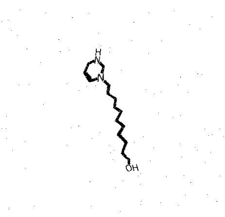 OCCCCCCCCCCCN1C=CCNC1